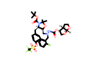 CC(C)(C)OC(=O)N1[C@H](Cc2ccc(OS(=O)(=O)C(F)(F)F)cc2)[C@H](CN(Cc2ccccc2F)NC(=O)O[C@H]2CO[C@H]3OCC[C@H]32)OC1(C)C